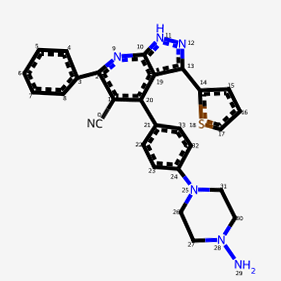 N#Cc1c(-c2ccccc2)nc2[nH]nc(-c3cccs3)c2c1-c1ccc(N2CCN(N)CC2)cc1